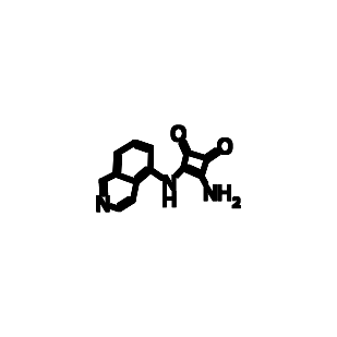 Nc1c(Nc2cccc3cnccc23)c(=O)c1=O